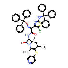 CC1C[C@@H]2[C@H](NC(=O)C(=NOC(c3ccccc3)(c3ccccc3)c3ccccc3)c3nc(NC(c4ccccc4)(c4ccccc4)c4ccccc4)sc3Cl)C(=O)N2C(C(=O)O)=C1Sc1ccncc1